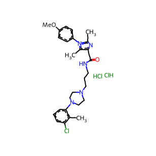 COc1ccc(-n2c(C)nc(C(=O)NCCCN3CCN(c4cccc(Cl)c4C)CC3)c2C)cc1.Cl.Cl